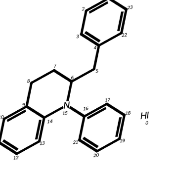 I.c1ccc(CC2CCc3ccccc3N2c2ccccc2)cc1